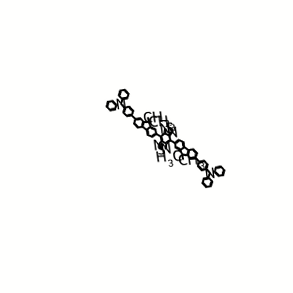 CC1(C)c2cc(-c3ccc(N(c4ccccc4)c4ccccc4)cc3)ccc2-c2ccc(-c3c4c(c(-c5ccc6c(c5)C(C)(C)c5cc(-c7ccc(N(c8ccccc8)c8ccccc8)cc7)ccc5-6)c5nsnc35)N=S=N4)cc21